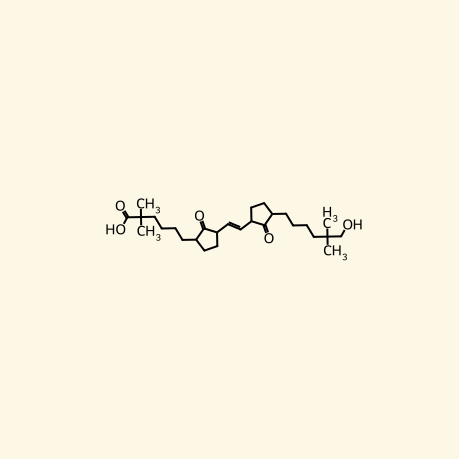 CC(C)(CO)CCCCC1CCC(C=CC2CCC(CCCCC(C)(C)C(=O)O)C2=O)C1=O